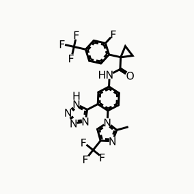 Cc1nc(C(F)(F)F)cn1-c1ccc(NC(=O)C2(c3ccc(C(F)(F)F)cc3F)CC2)cc1-c1nnn[nH]1